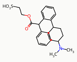 CN(C)C1CCC(c2ccccc2C(C(=O)OCCS(=O)(=O)O)c2ccccc2)CC1